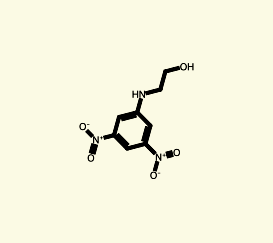 O=[N+]([O-])c1cc(NCCO)cc([N+](=O)[O-])c1